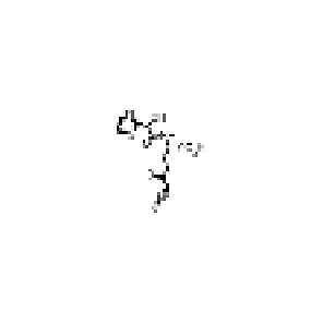 [N-]=[N+]=CC(=O)CC[C@H](NC(=O)[C@H](O)c1nccs1)C(=O)O